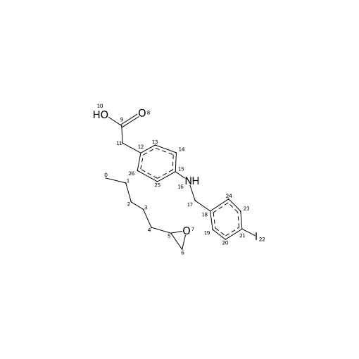 CCCCCC1CO1.O=C(O)Cc1ccc(NCc2ccc(I)cc2)cc1